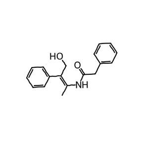 CC(NC(=O)Cc1ccccc1)=C(CO)c1ccccc1